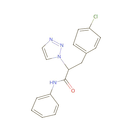 O=C(Nc1ccccc1)C(Cc1ccc(Cl)cc1)n1ccnn1